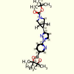 CC(C)(C)OC(=O)N1C[C@@H]2[C@H](C1)[C@H]2c1ccn(-c2ccc(B3OC(C)(C)C(C)(C)O3)cn2)n1